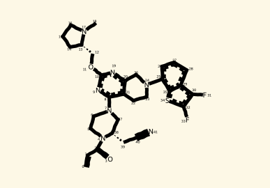 C=CC(=O)N1CCN(c2nc(OC[C@@H]3CCCN3C)nc3c2CCN(c2cccc4c(F)c(F)sc24)C3)C[C@@H]1CC#N